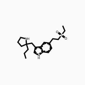 CCCC1(Cc2c[nH]c3ccc(CCS(=O)(=O)CC)cc23)CCCN1